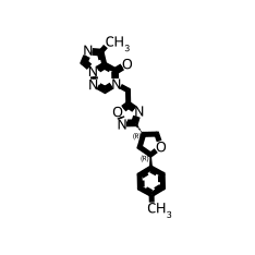 Cc1ccc([C@H]2C[C@H](c3noc(Cn4cnn5cnc(C)c5c4=O)n3)CO2)cc1